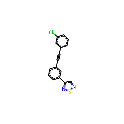 Clc1cccc(C#Cc2cccc(-c3cnsn3)c2)c1